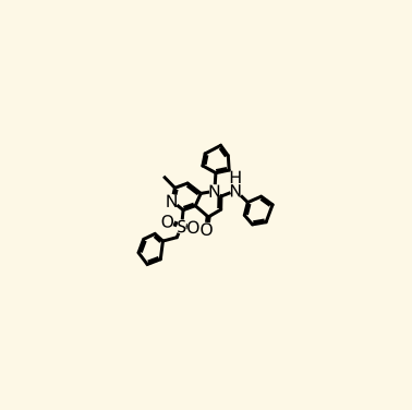 Cc1cc2c(c(S(=O)(=O)Cc3ccccc3)n1)c(=O)cc(Nc1ccccc1)n2-c1ccccc1